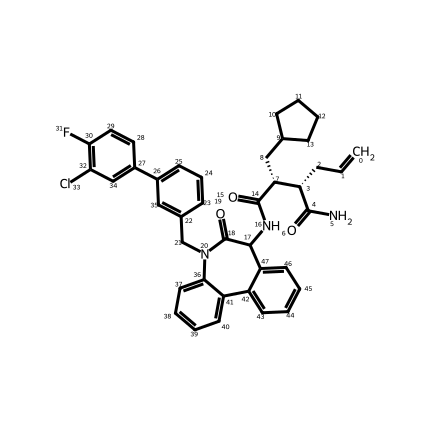 C=CC[C@H](C(N)=O)[C@@H](CC1CCCC1)C(=O)NC1C(=O)N(Cc2cccc(-c3ccc(F)c(Cl)c3)c2)c2ccccc2-c2ccccc21